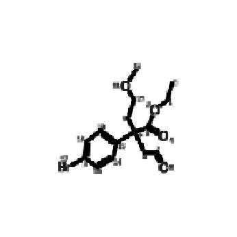 CCOC(=O)C(CC=O)(CCOC)c1ccc(Br)cc1